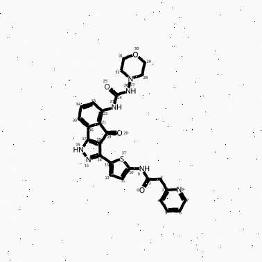 O=C(Cc1ccccn1)Nc1ccc(-c2n[nH]c3c2C(=O)c2c(NC(=O)NN4CCOCC4)cccc2-3)s1